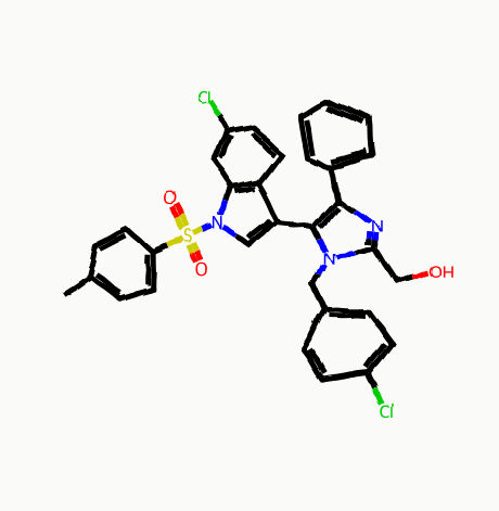 Cc1ccc(S(=O)(=O)n2cc(-c3c(-c4ccccc4)nc(CO)n3Cc3ccc(Cl)cc3)c3ccc(Cl)cc32)cc1